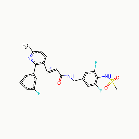 CS(=O)(=O)Nc1c(F)cc(CNC(=O)/C=C/c2ccc(C(F)(F)F)nc2-c2cccc(F)c2)cc1F